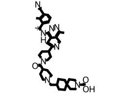 Cc1c(C#N)cccc1[C@@H](C)Nc1nnc(C)c2cnc(C3CCN(C(=O)C4CCN(CC5CCC6(CC5)CCN(C(=O)O)CC6)CC4)CC3)cc12